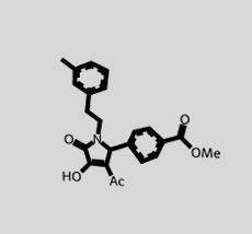 COC(=O)c1ccc(C2C(C(C)=O)=C(O)C(=O)N2CCc2cccc(C)c2)cc1